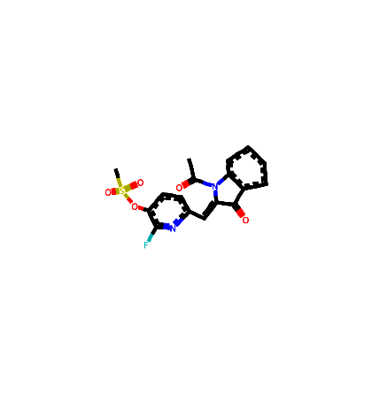 CC(=O)N1/C(=C\c2ccc(OS(C)(=O)=O)c(F)n2)C(=O)c2ccccc21